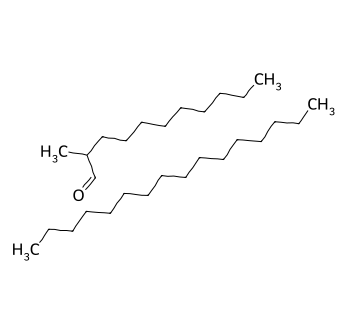 CCCCCCCCCC(C)C=O.CCCCCCCCCCCCCCCC